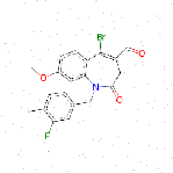 COc1ccc2c(c1)N(Cc1ccc(C)c(F)c1)C(=O)CC(C=O)=C2Br